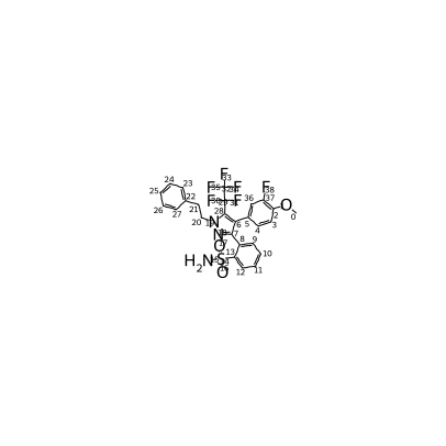 COc1ccc(-c2c(-c3ccccc3S(N)(=O)=O)nn(CCc3ccccc3)c2C(F)(F)C(F)(F)F)cc1F